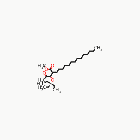 CCCCCCCCCCCCC/C=C(\C(=O)OC)C(O[Si](CC)(CC)CC)C(C)=O